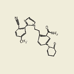 [CH2]c1ccc(C#N)c(-c2nccn2CCc2ccc(N3CCCCC3=O)cc2C(N)=O)c1